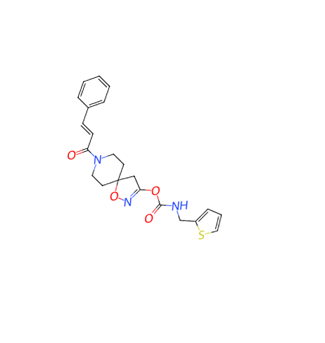 O=C(NCc1cccs1)OC1=NOC2(CCN(C(=O)C=Cc3ccccc3)CC2)C1